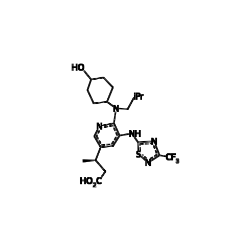 CC(C)CN(c1ncc([C@H](C)CC(=O)O)cc1Nc1nc(C(F)(F)F)ns1)C1CCC(O)CC1